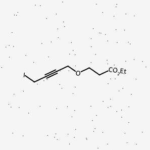 CCOC(=O)CCOCC#CCI